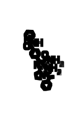 C=C(C(=O)N1CCCC1c1nc(-c2ccc(C(=O)Nc3ccccn3)cc2)c(C(N)=O)n1N)c1ccccc1